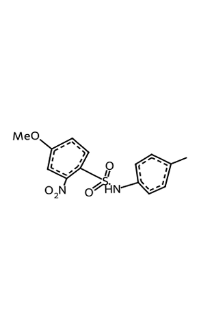 COc1ccc(S(=O)(=O)Nc2ccc(C)cc2)c([N+](=O)[O-])c1